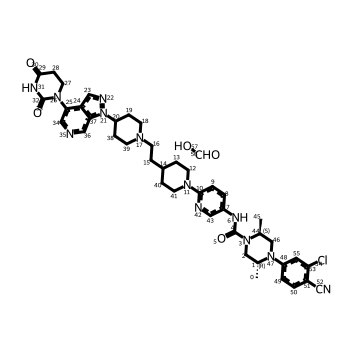 C[C@@H]1CN(C(=O)Nc2ccc(N3CCC(CCN4CCC(n5ncc6c(N7CCC(=O)NC7=O)cncc65)CC4)CC3)nc2)[C@@H](C)CN1c1ccc(C#N)c(Cl)c1.O=CO